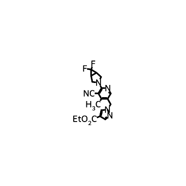 CCOC(=O)c1cnn(Cc2cnc(N3CC4C(C3)C4(F)F)c(C#N)c2C)c1